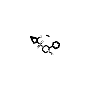 CC.CCN1CCN(S(=O)(=O)c2cc3cc-3c2Cl)CC1c1ccccc1